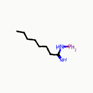 CCCCCCCC(=N)NP